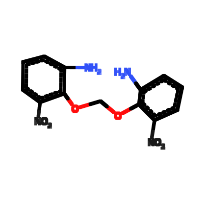 Nc1cccc([N+](=O)[O-])c1OCOc1c(N)cccc1[N+](=O)[O-]